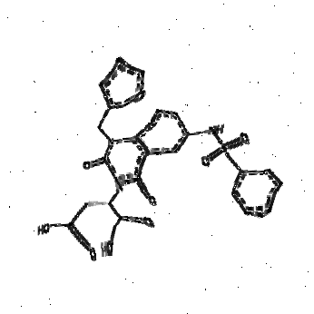 O=C(O)C[C@@H](C(=O)O)n1c(=O)c2cc(NS(=O)(=O)c3ccccc3)ccc2n(Cc2ccco2)c1=O